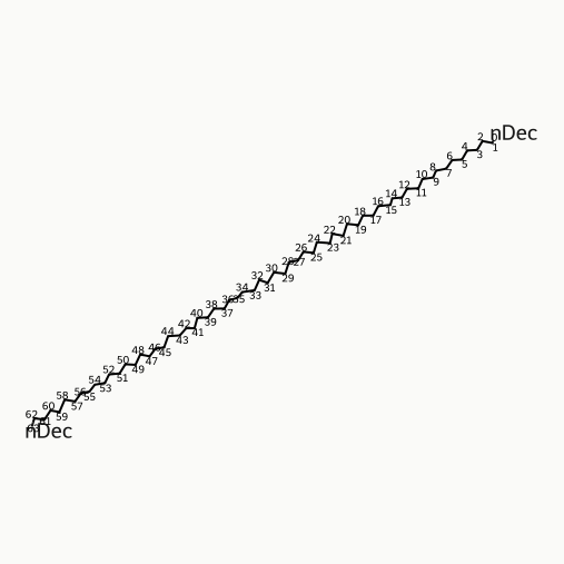 CCCCCCCCCCCCCCCCCCCCCCCCCCCCCCCCCCCCCCCCCCCCCCCCCCCCCCCCCCCCCCCCCCCCCCCCCCCCCCCCCC